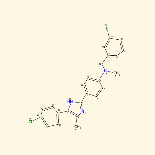 Cc1nc(-c2ccc(N(C)Cc3cccc(F)c3)cc2)[nH]c1-c1ccc(Cl)cc1